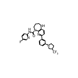 O=C(Nc1ccc(F)cn1)N1CCCNc2ccc(-c3cccc(N4CCC(C(F)(F)F)C4)c3)nc21